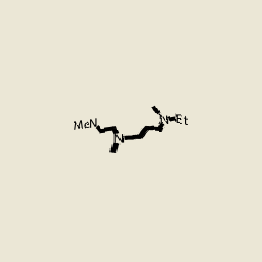 CCN(C)CCCN(C)CCNC